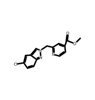 COC(=O)c1ccnc(Cn2cc3cc(Cl)ccc3n2)c1